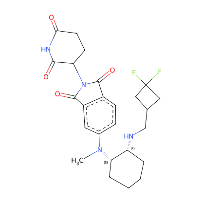 CN(c1ccc2c(c1)C(=O)N(C1CCC(=O)NC1=O)C2=O)[C@H]1CCCC[C@H]1NCC1CC(F)(F)C1